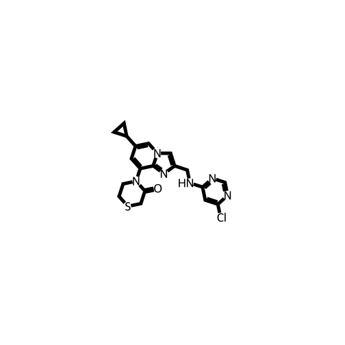 O=C1CSCCN1c1cc(C2CC2)cn2cc(CNc3cc(Cl)ncn3)nc12